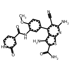 COc1ccc(-c2c(C#N)c(N)nc3sc(C(N)=O)c(N)c23)cc1NC(=O)c1cc[nH]c(=O)c1